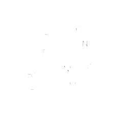 CN(C(=O)c1ccc(F)c(Br)c1)[C@@H]1COCc2[nH]c(=O)c3cc(F)c(F)cc3c21